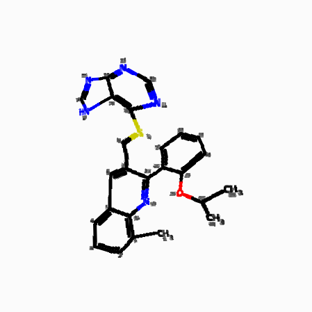 Cc1cccc2cc(CSc3ncnc4nc[nH]c34)c(-c3ccccc3OC(C)C)nc12